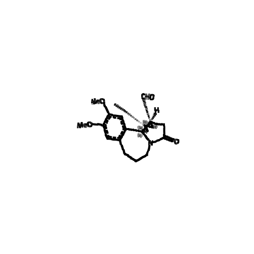 COc1cc2c(cc1OC)[C@@]13C[C@H](C)[C@@H](C=O)[C@@H]1CC(=O)N3CCC2